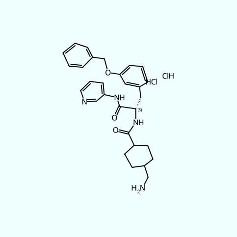 Cl.Cl.NCC1CCC(C(=O)N[C@@H](Cc2cccc(OCc3ccccc3)c2)C(=O)Nc2cccnc2)CC1